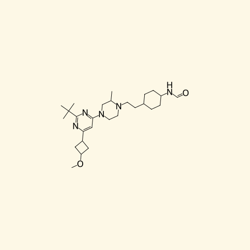 COC1CC(c2cc(N3CCN(CCC4CCC(NC=O)CC4)C(C)C3)nc(C(C)(C)C)n2)C1